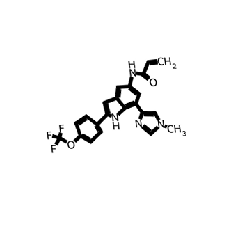 C=CC(=O)Nc1cc(-c2cn(C)cn2)c2[nH]c(-c3ccc(OC(F)(F)F)cc3)cc2c1